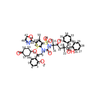 COc1ccccc1[C@H](CN1C(=O)N(C(C)(C)C(=O)CC(C)(C)[Si](O)(c2ccccc2)c2ccccc2)S(=O)(=O)c2c1sc(-c1ncco1)c2C)OC1CCC(=O)CC1